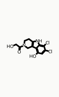 O=C(CO)N1CCc2[nH]c3c(Cl)c(Cl)cc(O)c3c2C1